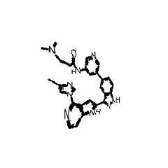 Cc1cn(-c2nccc3[nH]c(-c4n[nH]c5ccc(-c6cncc(NC(=O)CN(C)C)c6)cc45)cc23)cn1